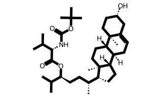 CC(C)[C@H](CC[C@@H](C)[C@H]1CC[C@H]2[C@@H]3CC=C4C[C@@H](O)CC[C@]4(C)[C@H]3CC[C@]12C)OC(=O)[C@@H](NC(=O)OC(C)(C)C)C(C)C